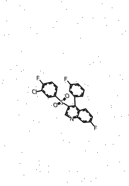 O=S(=O)(c1ccc(F)c(Cl)c1)c1cnc2cc(F)ccc2c1-c1cccc(F)c1